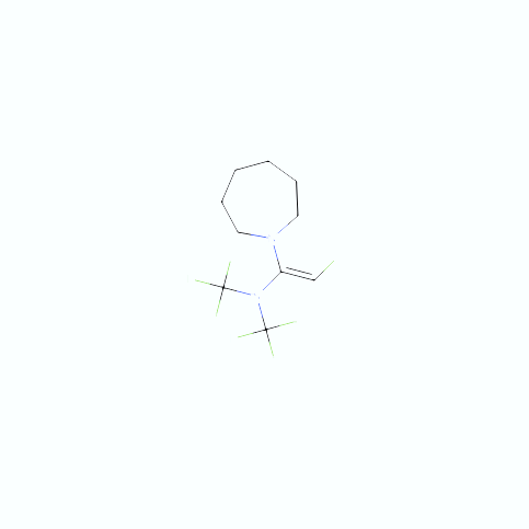 F/C=C(\N1CCCCCC1)N(C(F)(F)F)C(F)(F)F